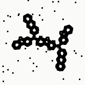 c1ccc2cc3cc(N(c4ccc5c(c4)oc4ccccc45)c4cnc5c(n4)oc4nc(N(c6ccc7cc8ccccc8cc7c6)c6ccc7c(c6)oc6ccccc67)ncc45)ccc3cc2c1